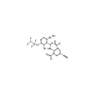 N#Cc1cc([N+](=O)[O-])c(NC(=O)c2c(Br)ccc(OC(F)(F)C(F)F)c2Br)c([N+](=O)O)c1.[KH]